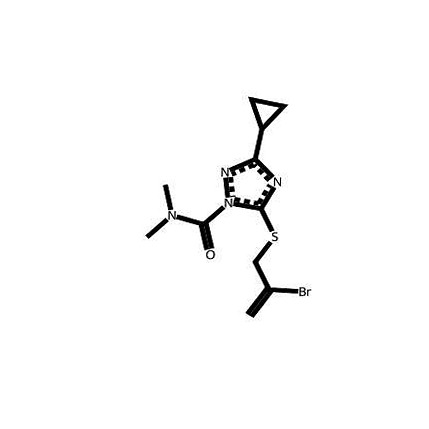 C=C(Br)CSc1nc(C2CC2)nn1C(=O)N(C)C